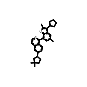 Cc1cc(-c2nccc3cc(C4CCC(C)(C)C4)ccc23)c2oc(C)c(C3CCCC3)c2c1